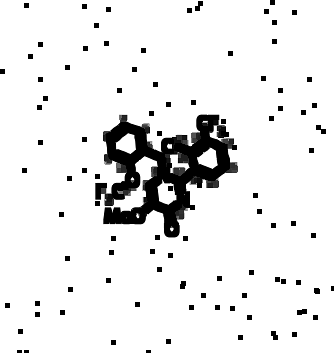 COc1cn(Cc2ccccc2OC(F)(F)F)c(-c2cccc(C(F)(F)F)c2Cl)nc1=O